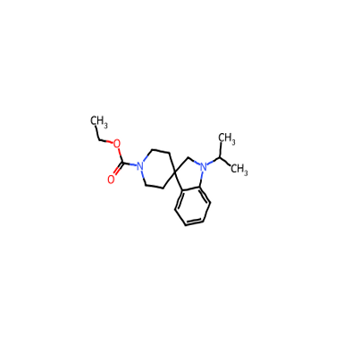 CCOC(=O)N1CCC2(CC1)CN(C(C)C)c1ccccc12